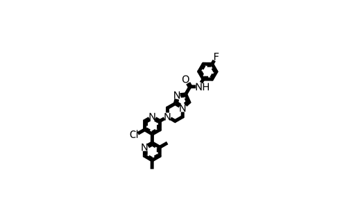 Cc1cnc(-c2cc(N3CCn4cc(C(=O)Nc5ccc(F)cc5)nc4C3)ncc2Cl)c(C)c1